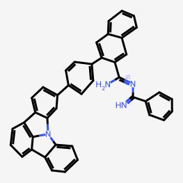 N=C(/N=C(\N)c1cc2ccccc2cc1-c1ccc(-c2ccc3c4cccc5c6ccccc6n(c3c2)c54)cc1)c1ccccc1